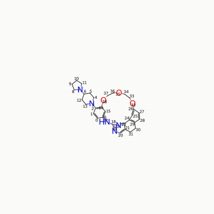 c1cc(N2CCC(N3CCCC3)CC2)c2cc1Nc1ncc3c(n1)-c1cc(ccc1CC3)OCCOCCO2